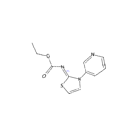 CCOC(=O)/N=c1\sccn1-c1cccnc1